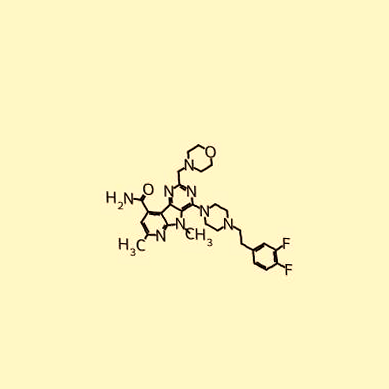 Cc1cc(C(N)=O)c2c3nc(CN4CCOCC4)nc(N4CCN(CCc5ccc(F)c(F)c5)CC4)c3n(C)c2n1